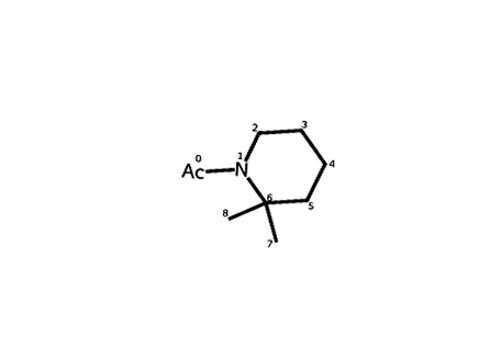 CC(=O)N1CCCCC1(C)C